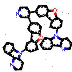 c1ccc2c(c1)c1ncccc1n2-c1ccc2oc3ccc(-c4ccncc4-c4ccc5oc6ccc(-n7c8ccccc8c8ncccc87)cc6c5c4)cc3c2c1